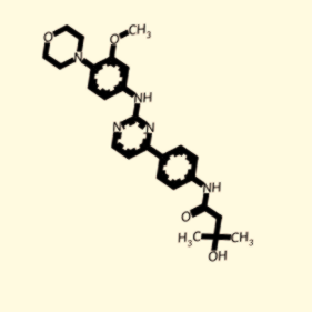 COc1cc(Nc2nccc(-c3ccc(NC(=O)CC(C)(C)O)cc3)n2)ccc1N1CCOCC1